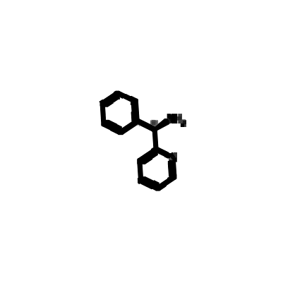 N[C@H](c1ccccc1)c1ccccn1